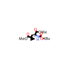 COC(=O)[C@H](CC1(C(=O)OC)CC1)NC(=O)OC(C)(C)C